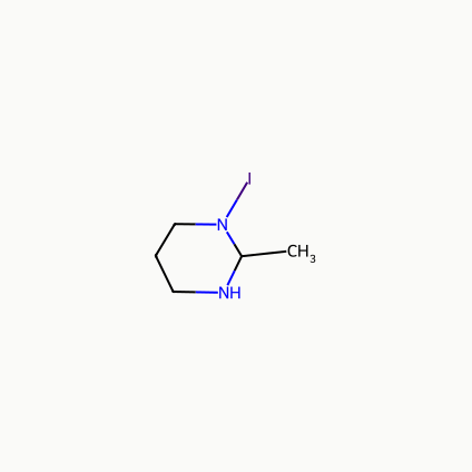 CC1NCCCN1I